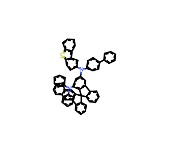 c1ccc(-c2ccc(N(c3cc4c(c(N(c5ccccc5)c5ccccc5)c3)C3(c5ccccc5-c5cc6ccccc6cc53)c3ccccc3-4)c3ccc4sc5ccccc5c4c3)cc2)cc1